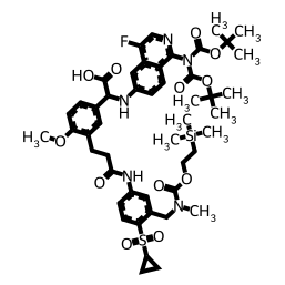 COc1ccc(C(Nc2ccc3c(N(C(=O)OC(C)(C)C)C(=O)OC(C)(C)C)ncc(F)c3c2)C(=O)O)cc1CCC(=O)Nc1ccc(S(=O)(=O)C2CC2)c(CN(C)C(=O)OCC[Si](C)(C)C)c1